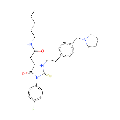 CCCCCNC(=O)CC1C(=O)N(c2ccc(F)cc2)C(=S)N1CCc1ccc(CN2CCCC2)cc1